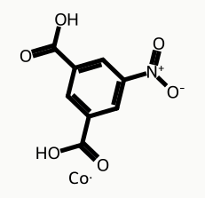 O=C(O)c1cc(C(=O)O)cc([N+](=O)[O-])c1.[Co]